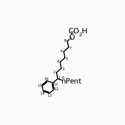 CCCCCC(CCCCCCCOC(=O)O)c1ccccc1